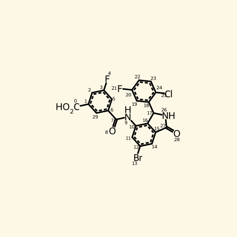 O=C(O)c1cc(F)cc(C(=O)Nc2cc(Br)cc3c2C(c2cc(F)ccc2Cl)NC3=O)c1